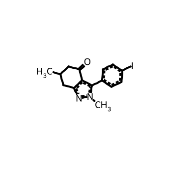 CC1CC(=O)c2c(nn(C)c2-c2ccc(I)cc2)C1